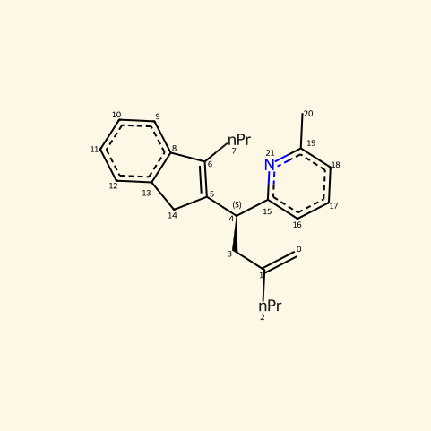 C=C(CCC)C[C@@H](C1=C(CCC)c2ccccc2C1)c1cccc(C)n1